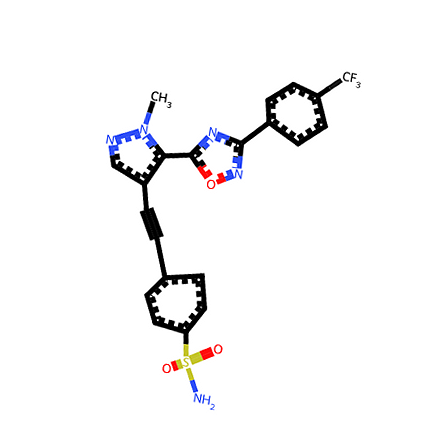 Cn1ncc(C#Cc2ccc(S(N)(=O)=O)cc2)c1-c1nc(-c2ccc(C(F)(F)F)cc2)no1